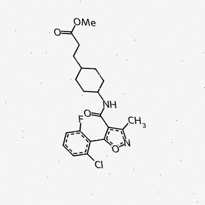 COC(=O)CCC1CCC(NC(=O)c2c(C)noc2-c2c(F)cccc2Cl)CC1